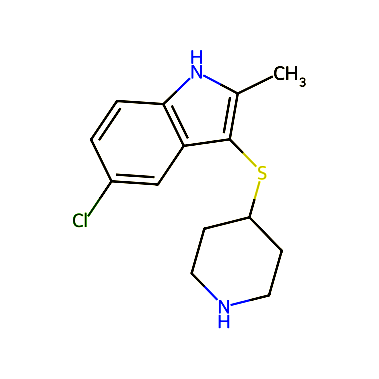 Cc1[nH]c2ccc(Cl)cc2c1SC1CCNCC1